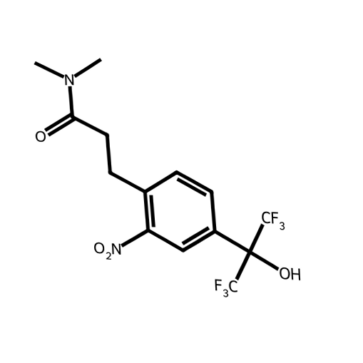 CN(C)C(=O)CCc1ccc(C(O)(C(F)(F)F)C(F)(F)F)cc1[N+](=O)[O-]